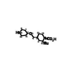 CC(C)(C)C1CC(COC2CCNCC2)CCN1C(=O)O